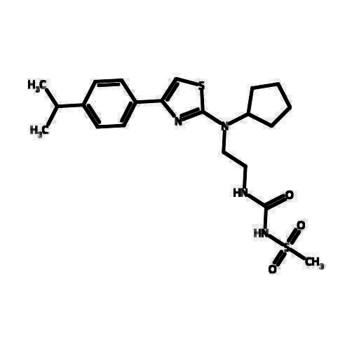 CC(C)c1ccc(-c2csc(N(CCNC(=O)NS(C)(=O)=O)C3CCCC3)n2)cc1